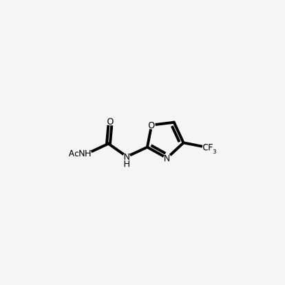 [CH2]C(=O)NC(=O)Nc1nc(C(F)(F)F)co1